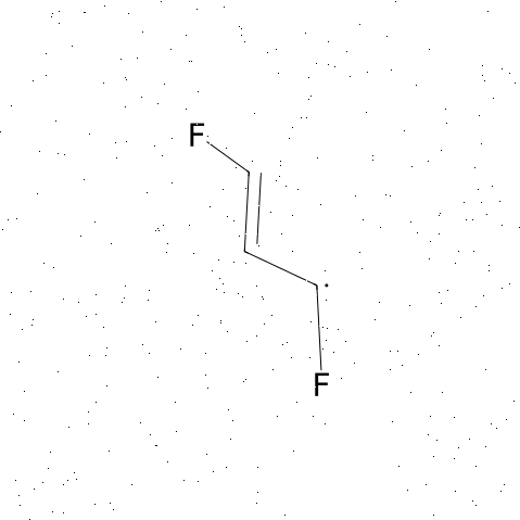 F[CH]C=CF